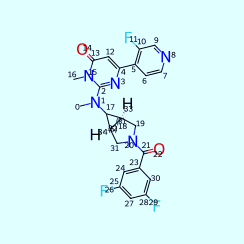 CN(c1nc(-c2ccncc2F)cc(=O)n1C)C1[C@H]2CN(C(=O)c3cc(F)cc(F)c3)C[C@@H]12